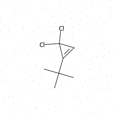 CC(C)(C)C1=CC1(Cl)Cl